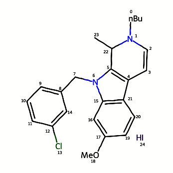 CCCCN1C=Cc2c(n(Cc3cccc(Cl)c3)c3cc(OC)ccc23)C1C.I